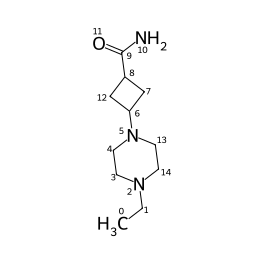 CCN1CCN(C2CC(C(N)=O)C2)CC1